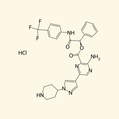 Cl.Nc1ncc(-c2cnn(C3CCNCC3)c2)nc1C(=O)O[C@@H](C(=O)Nc1ccc(C(F)(F)F)cc1)c1ccccc1